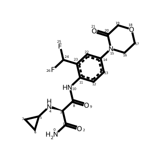 NC(=O)[C@@H](NC1CC1)C(=O)Nc1ccc(N2CCOCC2=O)cc1C(F)F